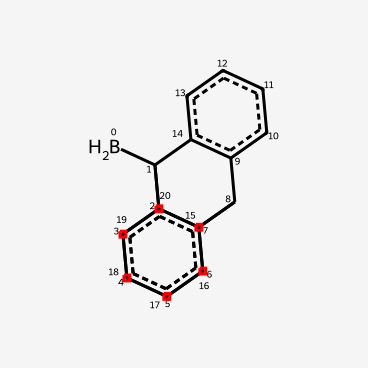 BC12c3ccccc3C(c3ccccc31)c1ccccc12